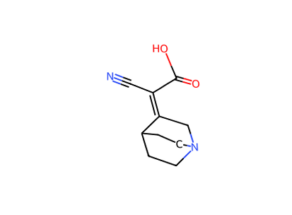 N#CC(C(=O)O)=C1CN2CCC1CC2